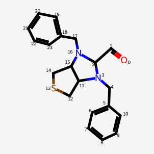 O=CC1N(Cc2ccccc2)C2CSCC2N1Cc1ccccc1